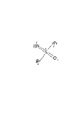 CCCS(=N)(=O)C(C)C